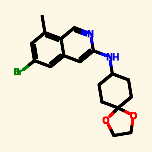 Cc1cc(Br)cc2cc(NC3CCC4(CC3)OCCO4)ncc12